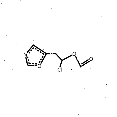 O=COC(Cl)Cc1cnco1